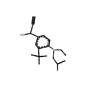 C#CC(O)c1ccc(N(CC)CC(C)C)c(C(C)(C)C)c1